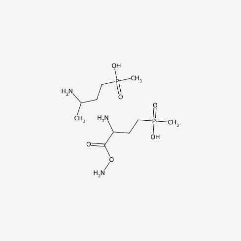 CC(N)CCP(C)(=O)O.CP(=O)(O)CCC(N)C(=O)ON